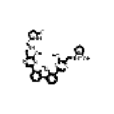 COc1nc(-c2cccc(-c3cccc(-c4cnc(CN[C@@H]5CCC[C@@H]5O)c(OC)n4)c3Cl)c2Cl)cnc1CNC[C@@H]1CCC(=O)N1